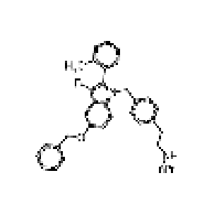 CCCNCCc1ccc(Cn2c(-c3ccccc3C)c(F)c3cc(OCc4ccccc4)ccc32)cc1